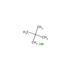 Br.CC(C)(C)C